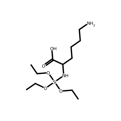 CCO[Si](NC(CCCCN)C(=O)O)(OCC)OCC